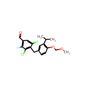 COCOc1ccc(Cc2c(Cl)cc(C=O)c(F)c2Cl)cc1C(C)C